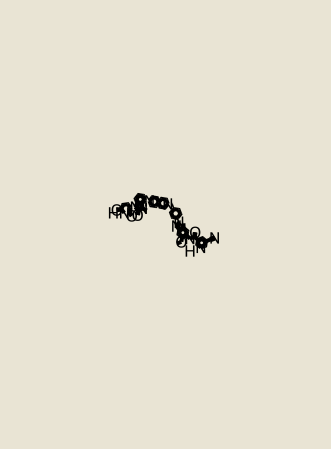 COc1cc2nn([C@H]3CC[C@H](CN4CCC5(CC4)CCN(c4cccc6c4n(C)c(=O)n6C4CCC(=O)NC4=O)CC5)CC3)cc2cc1NC(=O)c1cncc(C#N)c1